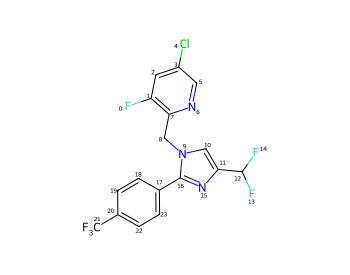 Fc1cc(Cl)cnc1Cn1cc(C(F)F)nc1-c1ccc(C(F)(F)F)cc1